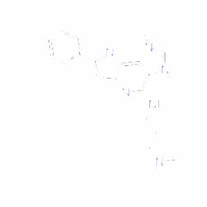 CN(C)CCCNc1nc2sc(-c3ccc(F)cc3)nc2c2c1ncn2C